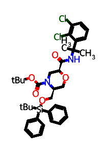 CC(C)(C)OC(=O)N1C[C@@H](C(=O)NC(C)(C)c2cccc(Cl)c2Cl)OC[C@H]1CO[Si](c1ccccc1)(c1ccccc1)C(C)(C)C